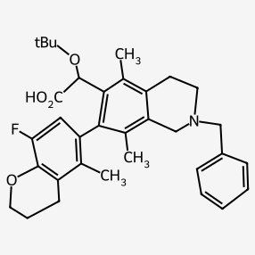 Cc1c(-c2c(C)c3c(c(C)c2C(OC(C)(C)C)C(=O)O)CCN(Cc2ccccc2)C3)cc(F)c2c1CCCO2